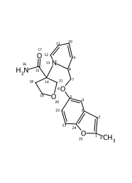 Cc1cc2cc(OCC3C=CC=CN3C3(C(N)=O)CCOC3)ccc2o1